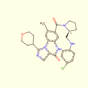 Cc1cc2c(cc1C(=O)N1CCC[C@H]1CNc1ccc(Cl)cc1)[nH]c(=O)c1cnc(C3CCOCC3)n12